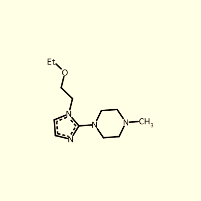 CCOCCn1ccnc1N1CCN(C)CC1